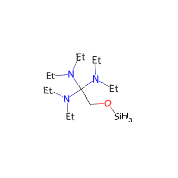 CCN(CC)C(CO[SiH3])(N(CC)CC)N(CC)CC